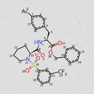 CC(=O)c1ccc(C[C@H](NC(=O)[C@@H]2CCCCN2S(=O)(=O)c2cccc(C(F)(F)F)c2)C(=O)OCc2ccccc2)cc1